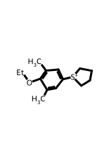 CCOc1c(C)cc([S+]2CCCC2)cc1C